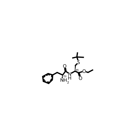 CCOC(=O)[C@H](CSC(C)(C)C)NC(=O)[C@@H](N)Cc1ccccc1